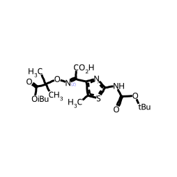 Cc1sc(NC(=O)OC(C)(C)C)nc1/C(=N/OC(C)(C)C(=O)OCC(C)C)C(=O)O